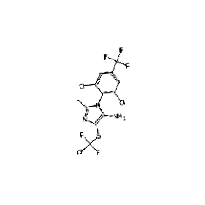 Cc1nc(SC(F)(F)Cl)c(N)n1-c1c(Cl)cc(C(F)(F)F)cc1Cl